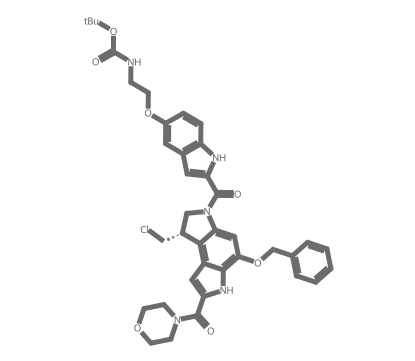 CC(C)(C)OC(=O)NCCOc1ccc2[nH]c(C(=O)N3C[C@@H](CCl)c4c3cc(OCc3ccccc3)c3[nH]c(C(=O)N5CCOCC5)cc43)cc2c1